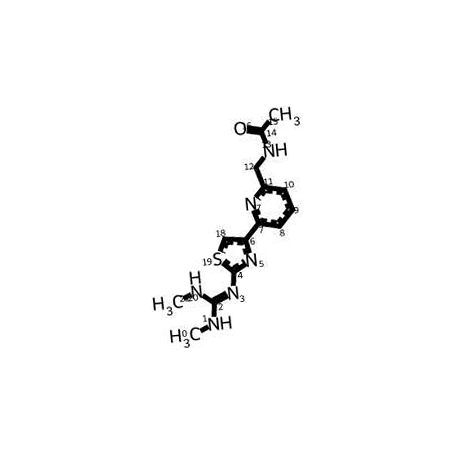 CNC(=Nc1nc(-c2cccc(CNC(C)=O)n2)cs1)NC